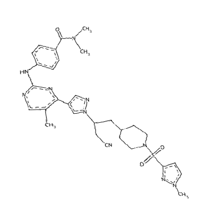 Cc1cnc(Nc2ccc(C(=O)N(C)C)cc2)nc1-c1cnn(C(CC#N)CC2CCN(S(=O)(=O)c3ccn(C)n3)CC2)c1